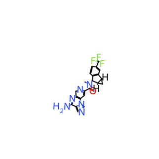 CN(C(=O)c1cc2c(cn1)nc(N)c1cncn12)[C@H]1c2ccc(C(F)(F)F)cc2[C@H]2C[C@H]21